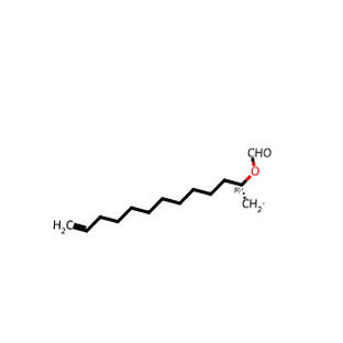 [CH2][C@H](CCCCCCCCCC=C)OC=O